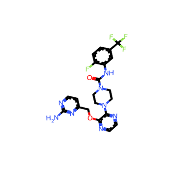 Nc1nccc(COc2nccnc2N2CCN(C(=O)Nc3cc(C(F)(F)F)ccc3F)CC2)n1